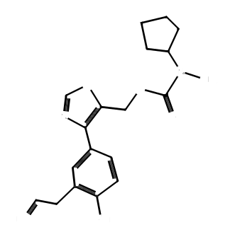 C=CCc1cc(-c2ncoc2COC(=O)N(C)C2CCCC2)ccc1C